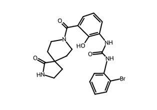 O=C(Nc1ccccc1Br)Nc1cccc(C(=O)N2CCC3(CCNC3=O)CC2)c1O